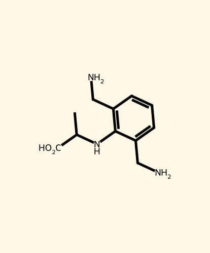 CC(Nc1c(CN)cccc1CN)C(=O)O